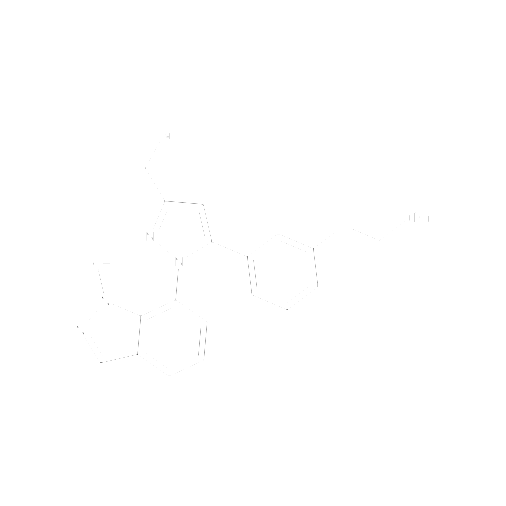 Cn1ncc2cccc(-n3nc(CBr)cc3-c3cccc(OCC(C)(C)C)c3)c21